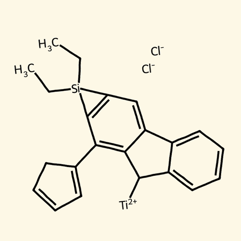 CC[Si]1(CC)c2cc3c(c(C4=CC=CC4)c21)[CH]([Ti+2])c1ccccc1-3.[Cl-].[Cl-]